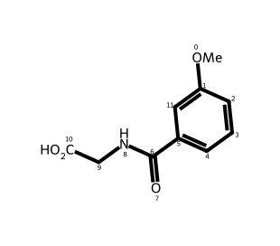 COc1cccc(C(=O)NCC(=O)O)c1